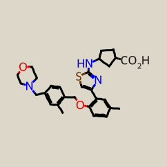 Cc1ccc(OCc2ccc(CN3CCOCC3)cc2C)c(-c2csc(NC3CCC(C(=O)O)C3)n2)c1